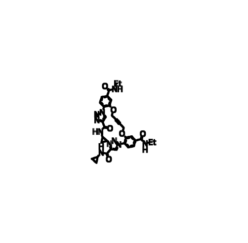 CCNC(=O)c1ccc(-n2cc(C(=O)NC3CC3)nn2)c(OCC#CCOc2cc(C(=O)NCC)ccc2-n2cc(C(=O)NC3CC3)nn2)c1